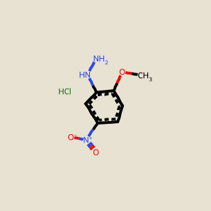 COc1ccc([N+](=O)[O-])cc1NN.Cl